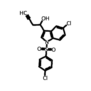 C#CCC(O)c1cn(S(=O)(=O)c2ccc(Cl)cc2)c2ccc(Cl)cc12